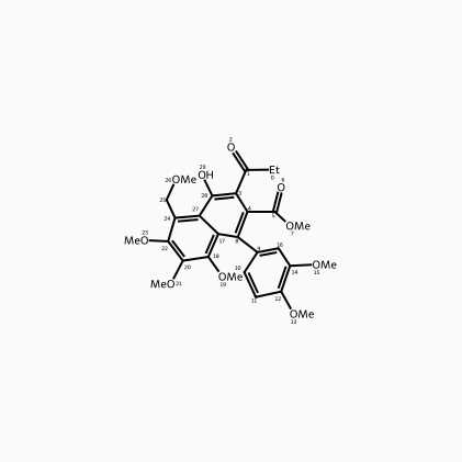 CCC(=O)c1c(C(=O)OC)c(-c2ccc(OC)c(OC)c2)c2c(OC)c(OC)c(OC)c(COC)c2c1O